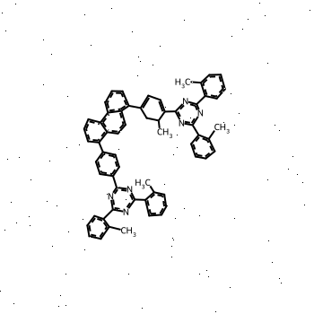 Cc1ccccc1-c1nc(C2=CC=C(c3cccc4c3ccc3c(-c5ccc(-c6nc(-c7ccccc7C)nc(-c7ccccc7C)n6)cc5)cccc34)CC2C)nc(-c2ccccc2C)n1